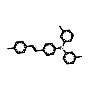 Cc1ccc(/C=C/c2ccc(N(c3cccc(C)c3)c3cccc(C)c3)cc2)cc1